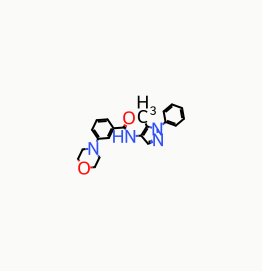 Cc1c(NC(=O)c2cccc(N3CCOCC3)c2)cnn1-c1ccccc1